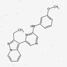 CCc1nn2ccccc2c1-c1cncc(Nc2cccc(OC)c2)n1